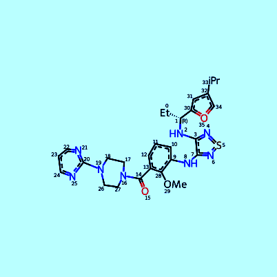 CC[C@@H](Nc1nsnc1Nc1cccc(C(=O)N2CCN(c3ncccn3)CC2)c1OC)c1cc(C(C)C)co1